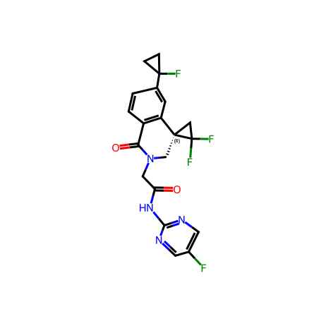 O=C(CN1C[C@@]2(CC2(F)F)c2cc(C3(F)CC3)ccc2C1=O)Nc1ncc(F)cn1